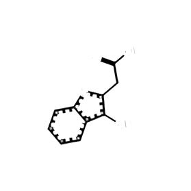 Cc1c(CC(=O)O)sc2ccccc12